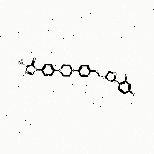 CC[C@@H](C)n1ncn(-c2ccc(N3CCN(c4ccc(OC[C@@H]5CO[C@@H](c6ccc(Cl)cc6Cl)O5)cc4)CC3)cc2)c1=O